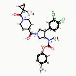 Cc1ccc(OC(=O)N(C)C2CN(C(=O)C3CCN(C(=O)C4(C)CC4)CC3)CC2c2ccc(Cl)c(Cl)c2)cc1